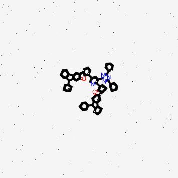 c1ccc(-c2nc(-c3ccccc3)nc(-c3cc(-c4cccc5c4oc4cc6c(cc45)-c4ccccc4C6c4ccccc4)cnc3-c3cccc4c3oc3cc5c(cc34)-c3ccccc3C5c3ccccc3)n2)cc1